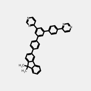 CC1(C)c2ccccc2-c2cc(-c3ccc(-c4cc(-c5ccc(-c6ccncn6)cc5)cc(-c5ccncn5)c4)cc3)ccc21